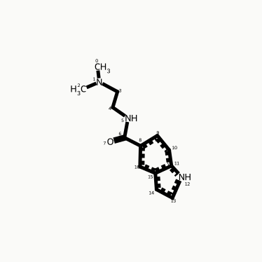 CN(C)CCNC(=O)c1ccc2[nH]ccc2c1